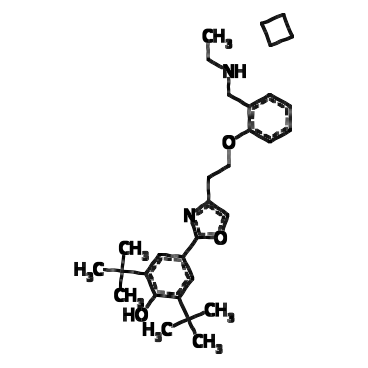 C1CCC1.CCNCc1ccccc1OCCc1coc(-c2cc(C(C)(C)C)c(O)c(C(C)(C)C)c2)n1